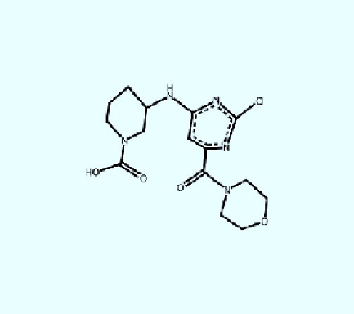 O=C(O)N1CCCC(Nc2cc(C(=O)N3CCOCC3)nc(Cl)n2)C1